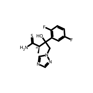 C[C@@H](C(N)=S)C(O)(Cn1cncn1)c1cc(F)ccc1F